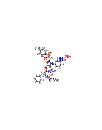 COC(=O)N[C@@H](Cc1ccccc1)C(=O)N[C@@H](Cc1ccc(NSO)cc1)c1csc(CS(=O)(=O)c2ccc(Cl)cc2)n1